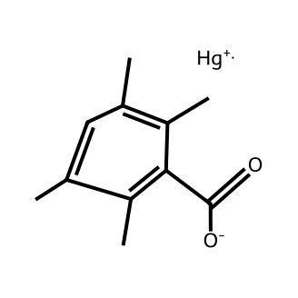 Cc1cc(C)c(C)c(C(=O)[O-])c1C.[Hg+]